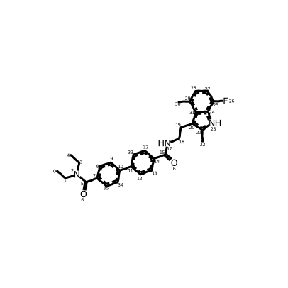 CCN(CC)C(=O)c1ccc(-c2ccc(C(=O)NCCc3c(C)[nH]c4c(F)ccc(C)c34)cc2)cc1